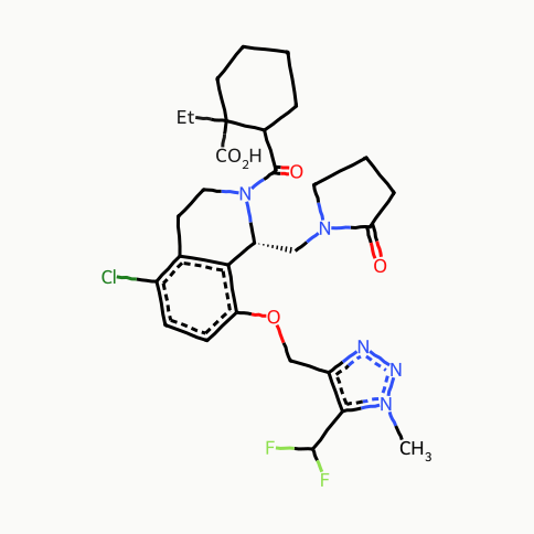 CCC1(C(=O)O)CCCCC1C(=O)N1CCc2c(Cl)ccc(OCc3nnn(C)c3C(F)F)c2[C@H]1CN1CCCC1=O